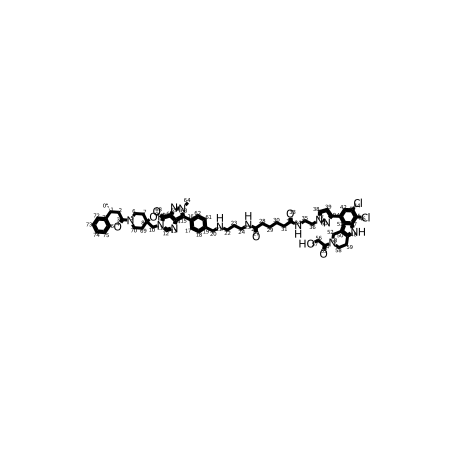 C[C@H](CC(=O)N1CCC(O)(Cn2cnc3c(-c4ccc(CNCCCNC(=O)CCCCC(=O)NCCn5ccc(-c6cc(Cl)c(Cl)c7[nH]c8c(c67)CN(C(=O)CO)CC8)n5)cc4)n(C)nc3c2=O)CC1)c1ccccc1